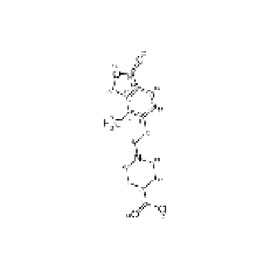 Cc1c(CCN2CCC(C(=O)Cl)CC2)ccc2c1COC2=O